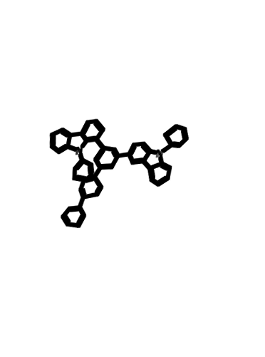 c1ccc(-c2ccc(-c3cc(-c4ccc5c(c4)c4ccccc4n5-c4ccccc4)cc(-c4cccc5c6ccccc6n(-c6ccccc6)c45)c3)cc2)cc1